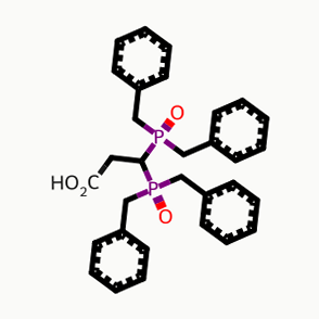 O=C(O)CC(P(=O)(Cc1ccccc1)Cc1ccccc1)P(=O)(Cc1ccccc1)Cc1ccccc1